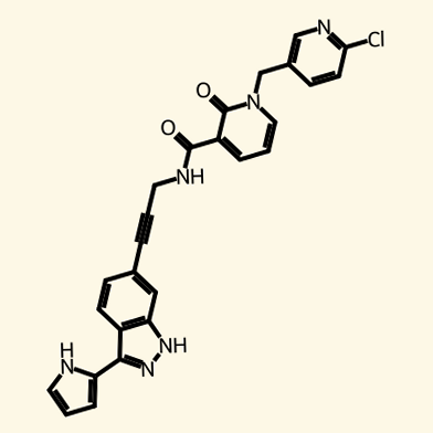 O=C(NCC#Cc1ccc2c(-c3ccc[nH]3)n[nH]c2c1)c1cccn(Cc2ccc(Cl)nc2)c1=O